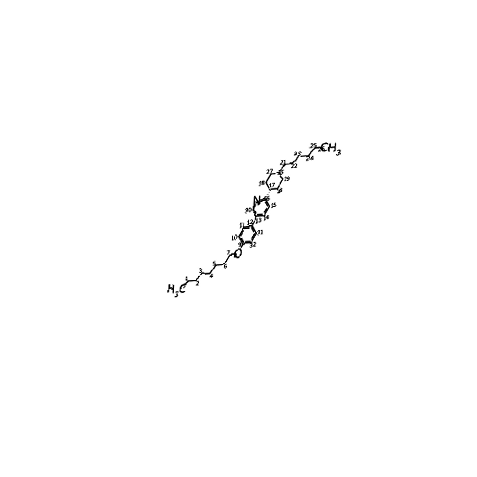 CCCCCCCCOc1ccc(-c2ccc([C@H]3CC[C@H](CCCCCC)CC3)nc2)cc1